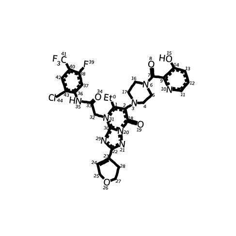 CCc1c(N2CCN(C(=O)c3ncccc3O)CC2)c(=O)n2nc(C3=CCOCC3)nc2n1CC(=O)Nc1cc(F)c(C(F)(F)F)cc1Cl